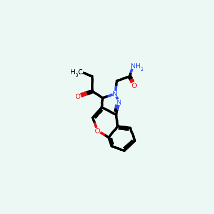 CCC(=O)C1C2=COc3ccccc3C2=NN1CC(N)=O